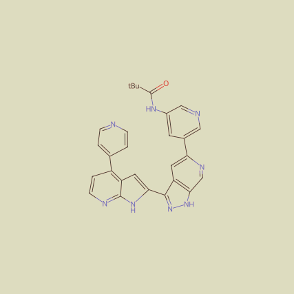 CC(C)(C)C(=O)Nc1cncc(-c2cc3c(-c4cc5c(-c6ccncc6)ccnc5[nH]4)n[nH]c3cn2)c1